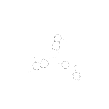 CC(C)c1cc(C(C)C)c2cc(OP(Oc3ccc(C(=O)c4ccccc4)cc3)Oc3cc4c(C(C)C)cc(C(C)C)cc4cc3C(C)C)c(C(C)C)cc2c1